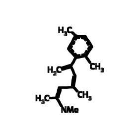 C=C(/C=C(C)\C=C(\C)NC)c1cc(C)ccc1C